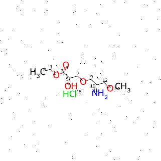 CCOC(=O)C(O)COC[C@@H](N)COC.Cl